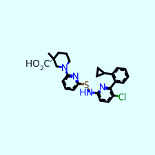 C[C@@]1(C(=O)O)CCCN(c2cccc(SNc3ccc(Cl)c(-c4ccccc4C4CC4)n3)n2)C1